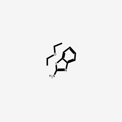 CCOCC.Nc1nc2ccccc2s1